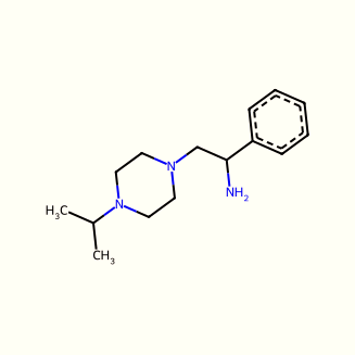 CC(C)N1CCN(CC(N)c2ccccc2)CC1